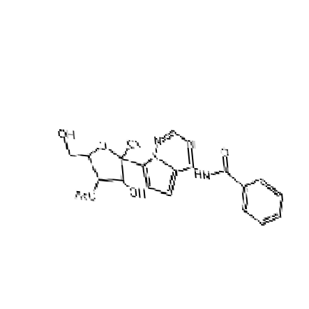 CC(=O)OC1C(CO)OC(C#N)(c2ccc3c(NC(=O)c4ccccc4)ncnn23)C1O